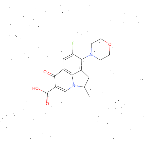 CC1Cc2c(N3CCOCC3)c(F)cc3c(=O)c(C(=O)O)cn1c23